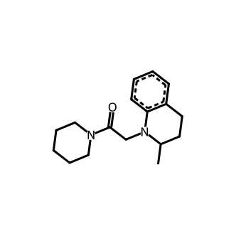 CC1CCc2ccccc2N1CC(=O)N1CCCCC1